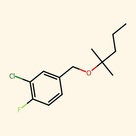 CCCC(C)(C)OCc1ccc(F)c(Cl)c1